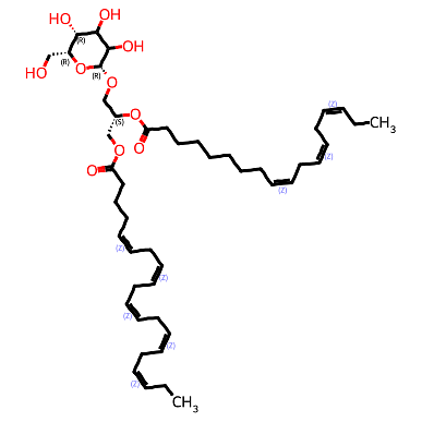 CC/C=C\C/C=C\C/C=C\C/C=C\C/C=C\CCCC(=O)OC[C@H](CO[C@@H]1O[C@H](CO)[C@H](O)C(O)C1O)OC(=O)CCCCCCC/C=C\C/C=C\C/C=C\CC